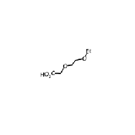 CCOCCOCC(=O)O